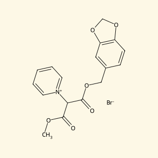 COC(=O)C(C(=O)OCc1ccc2c(c1)OCO2)[n+]1ccccc1.[Br-]